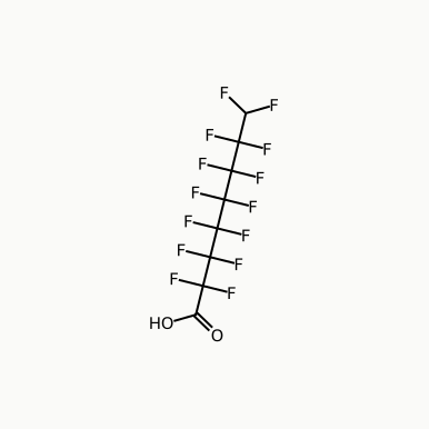 O=C(O)C(F)(F)C(F)(F)C(F)(F)C(F)(F)C(F)(F)C(F)(F)C(F)F